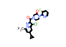 O=C(c1nn2c(C(F)(F)F)cc(C3CC3)cc2c1Cl)N1CCN(c2ncccc2F)C(=O)C1